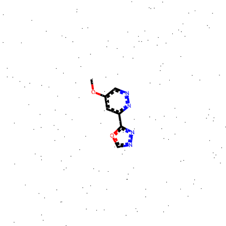 COc1cnnc(-c2nnco2)c1